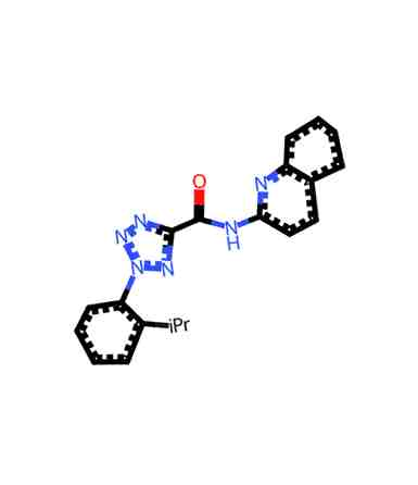 CC(C)c1ccccc1-n1nnc(C(=O)Nc2ccc3ccccc3n2)n1